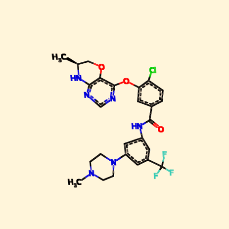 C[C@H]1COc2c(ncnc2Oc2cc(C(=O)Nc3cc(N4CCN(C)CC4)cc(C(F)(F)F)c3)ccc2Cl)N1